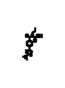 CCCN(C(=O)O)C(=O)c1ccc(-c2csc(N(C)C)n2)cc1